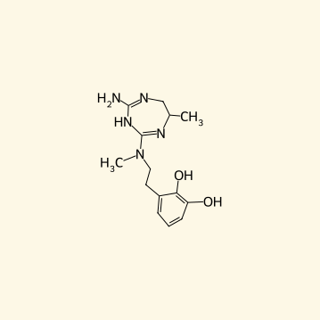 CC1CN=C(N)NC(N(C)CCc2cccc(O)c2O)=N1